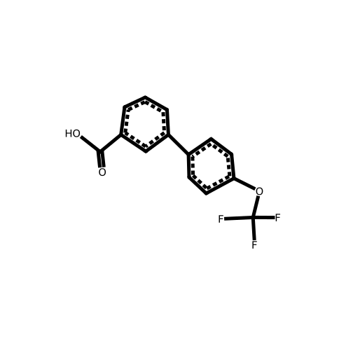 O=C(O)c1cccc(-c2ccc(OC(F)(F)F)cc2)c1